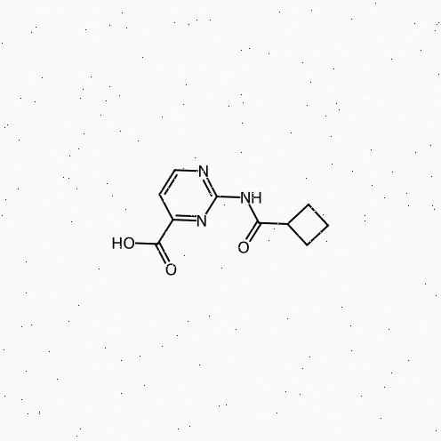 O=C(O)c1ccnc(NC(=O)C2CCC2)n1